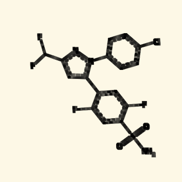 NS(=O)(=O)c1cc(F)c(-c2cc(C(F)F)nn2-c2ccc(Cl)cc2)cc1F